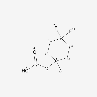 CC1(CC(=O)O)CCC(F)(F)CC1